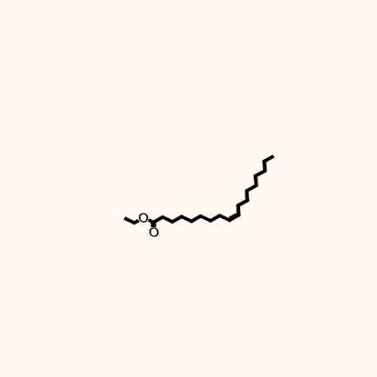 CCCCCCCC/C=C\CCCCCCCC(=O)OCC